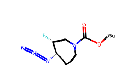 CC(C)(C)OC(=O)N1CC[C@H](N=[N+]=[N-])[C@H](F)C1